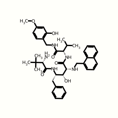 COc1ccc(CNC(=O)[C@@H](NC(=O)[C@H](NCc2cccc3ccccc23)[C@H](O)[C@H](Cc2ccccc2)NC(=O)[C@@H](N)C(C)(C)C)C(C)C)c(O)c1